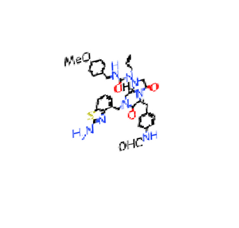 C=CCN(C(=O)NCc1ccc(OC)cc1)N1CC(=O)N2[C@@H](Cc3ccc(NC=O)cc3)C(=O)N(Cc3cccc4sc(N)nc34)C[C@@H]21